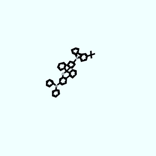 CC(C)(C)c1ccc2c(c1)c1ccccc1n2-c1ccc(C2(c3ccccc3)Oc3cc(N(c4ccccc4)c4ccccc4)ccc3-c3ccccc32)cc1